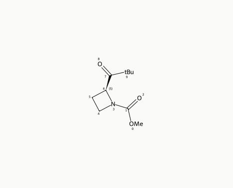 COC(=O)N1CC[C@H]1C(=O)C(C)(C)C